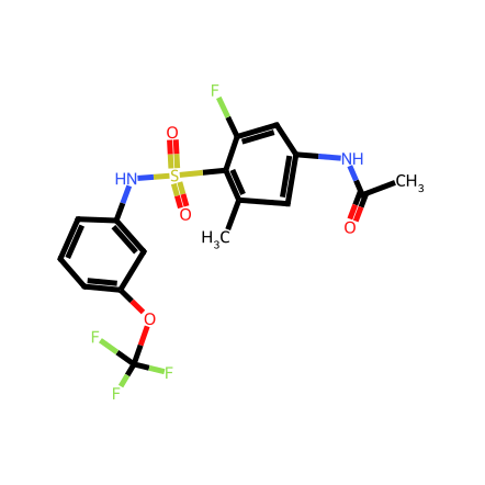 CC(=O)Nc1cc(C)c(S(=O)(=O)Nc2cccc(OC(F)(F)F)c2)c(F)c1